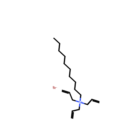 C=CC[N+](CC=C)(CC=C)CCCCCCCCCC.[Br-]